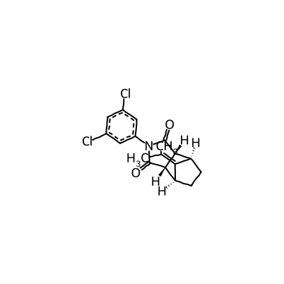 CC(C)=C1[C@H]2CC[C@@H]1[C@H]1C(=O)N(c3cc(Cl)cc(Cl)c3)C(=O)[C@H]12